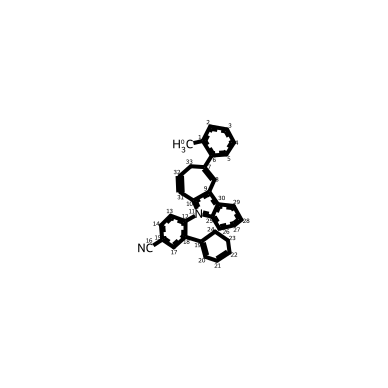 Cc1ccccc1C1=Cc2c(n(-c3ccc(C#N)cc3C3=CC=CCC3)c3ccccc23)C#CC1